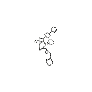 O=C1N=C(c2ccc(-c3ccccc3)cc2)c2c1ccc(COCc1ccccc1)c2N1CCCCC1